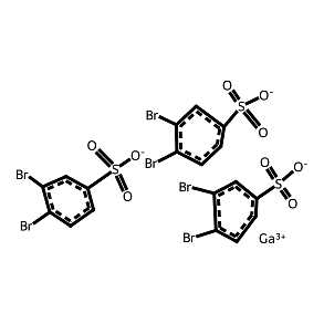 O=S(=O)([O-])c1ccc(Br)c(Br)c1.O=S(=O)([O-])c1ccc(Br)c(Br)c1.O=S(=O)([O-])c1ccc(Br)c(Br)c1.[Ga+3]